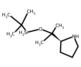 CC(C)(C)[SiH2]OC(C)(C)[C@@H]1CCCN1